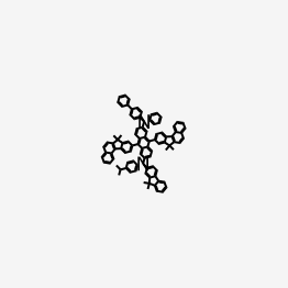 CC(C)c1ccc(N(c2ccc3c(c2)C(C)(C)c2ccccc2-3)c2ccc3c(-c4ccc5c(c4)C(C)(C)c4ccc6ccccc6c4-5)c4cc(N(c5ccccc5)c5ccc(-c6ccccc6)cc5)ccc4c(-c4ccc5c(c4)C(C)(C)c4ccc6ccccc6c4-5)c3c2)cc1